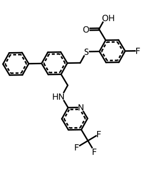 O=C(O)c1cc(F)ccc1SCc1ccc(-c2ccccc2)cc1CNc1ccc(C(F)(F)F)cn1